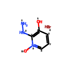 Br.NNc1c(O)ccc[n+]1[O-]